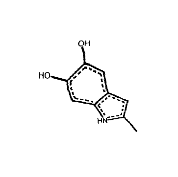 Cc1cc2cc(O)c(O)cc2[nH]1